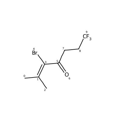 CC(C)=C(Br)C(=O)CCC(F)(F)F